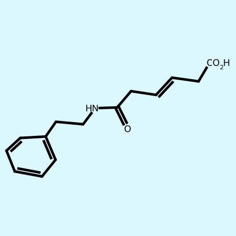 O=C(O)C/C=C/CC(=O)NCCc1ccccc1